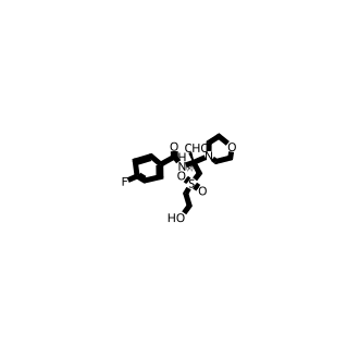 O=C[C@@](CS(=O)(=O)CCO)(NC(=O)c1ccc(F)cc1)N1CCOCC1